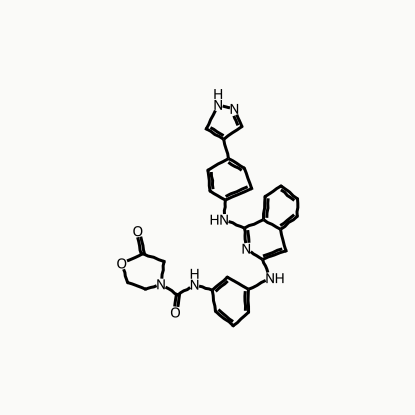 O=C1CN(C(=O)Nc2cccc(Nc3cc4ccccc4c(Nc4ccc(-c5cn[nH]c5)cc4)n3)c2)CCO1